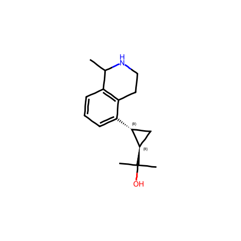 CC1NCCc2c1cccc2[C@@H]1C[C@H]1C(C)(C)O